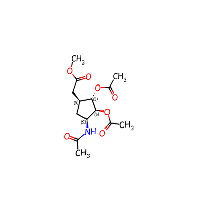 COC(=O)C[C@@H]1C[C@H](NC(C)=O)[C@H](OC(C)=O)[C@H]1OC(C)=O